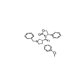 COc1ccc([C@@H]2CN(Cc3ccccc3)C[C@H]2C(=O)N2C(=O)OC[C@H]2c2ccccc2)cc1